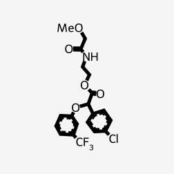 COCC(=O)NCCOC(=O)C(Oc1cccc(C(F)(F)F)c1)c1ccc(Cl)cc1